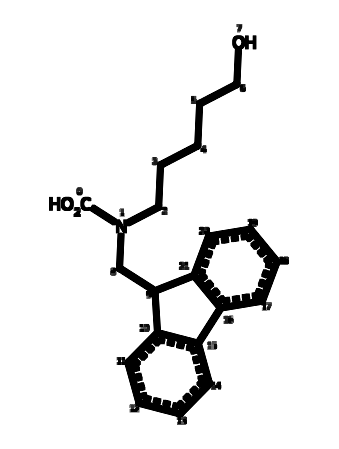 O=C(O)N(CCCCCO)CC1c2ccccc2-c2ccccc21